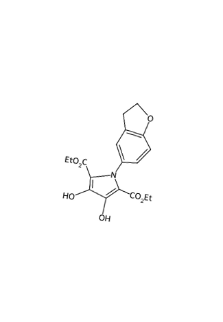 CCOC(=O)c1c(O)c(O)c(C(=O)OCC)n1-c1ccc2c(c1)CCO2